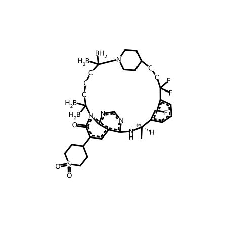 BC1(B)CCCC(B)(B)n2c(=O)c(C3CCS(=O)(=O)CC3)cc3c(ncnc32)N[C@H](C)c2cccc(c2F)C(F)(F)CCC2CCN1CC2